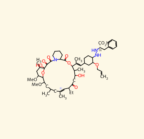 C=CCOC1CC(C=C(C)C2OC(=O)C3CCCCN3C(=O)C(=O)C3(O)OC(C(OC)CC(C)C/C(C)=C/C(CC)C(=O)CC(O)C2C)C(OC)CC3C)CCC1NN[C@@H](Cc1ccccc1)C(=O)O